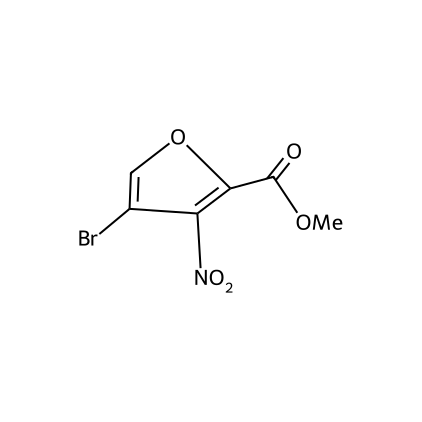 COC(=O)c1occ(Br)c1[N+](=O)[O-]